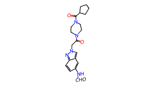 O=CNc1ccc2nn(CC(=O)N3CCN(C(=O)C4CCCC4)CC3)cc2c1